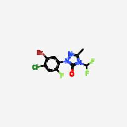 Cc1nn(-c2cc(Br)c(Cl)cc2F)c(=O)n1C(F)F